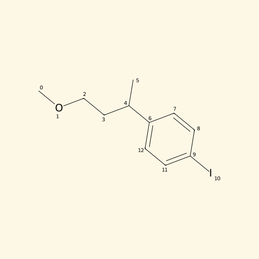 COCCC(C)c1ccc(I)cc1